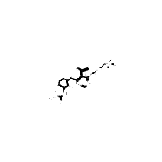 CC(C)(C)OC(=O)Nc1cccc(Cc2ncnc3c2c(I)cn3COCC[Si](C)(C)C)c1